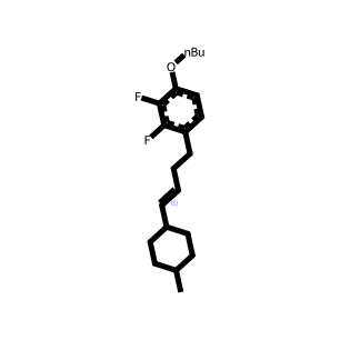 CCCCOc1ccc(CC/C=C/C2CCC(C)CC2)c(F)c1F